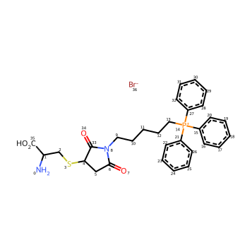 NC(CSC1CC(=O)N(CCCCC[P+](c2ccccc2)(c2ccccc2)c2ccccc2)C1=O)C(=O)O.[Br-]